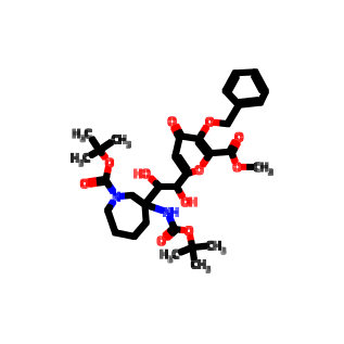 COC(=O)c1oc(C(O)C(O)C2(NC(=O)OC(C)(C)C)CCCCN(C(=O)OC(C)(C)C)C2)cc(=O)c1OCc1ccccc1